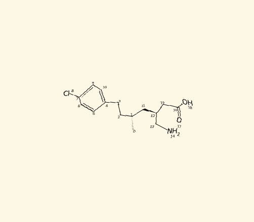 C[C@H](CCc1ccc(Cl)cc1)C[C@H](CN)CC(=O)O